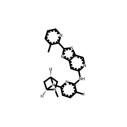 Cc1cccnc1-c1nc2cc(Nc3nc(N4[C@H]5C[C@@H]4N(C)C5)ccc3F)ncc2s1